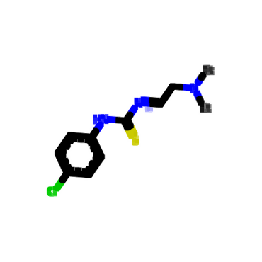 CCN(CC)C/C=N/C(=S)Nc1ccc(Cl)cc1